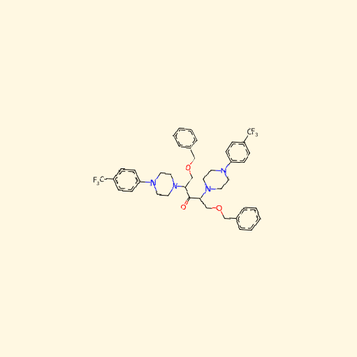 O=C(C(COCc1ccccc1)N1CCN(c2ccc(C(F)(F)F)cc2)CC1)C(COCc1ccccc1)N1CCN(c2ccc(C(F)(F)F)cc2)CC1